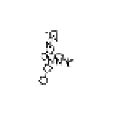 [C-]#[N+]c1ccc2c(n1)N(c1ccc(-c3ccccc3)cc1)C(=O)C21CCN(Cc2ncccc2C)CC1